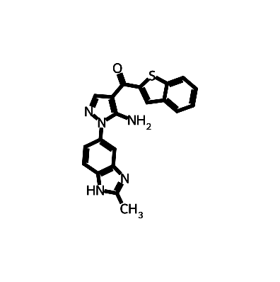 Cc1nc2cc(-n3ncc(C(=O)c4cc5ccccc5s4)c3N)ccc2[nH]1